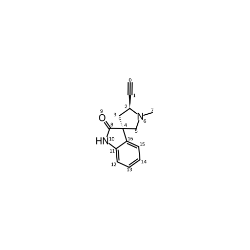 C#C[C@@H]1C[C@@]2(CN1C)C(=O)Nc1ccccc12